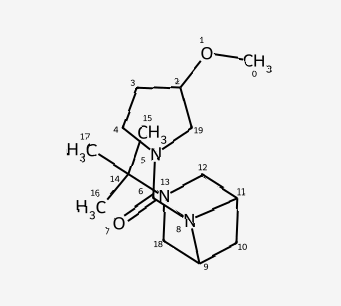 COC1CCN(C(=O)N2C3CC2CN(C(C)(C)C)C3)C1